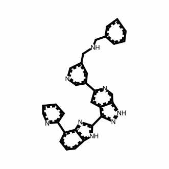 c1ccc(CNCc2cncc(-c3cc4c(-c5nc6c(-c7ccccn7)cccc6[nH]5)n[nH]c4cn3)c2)cc1